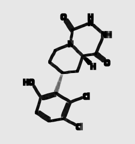 O=C1NNC(=O)N2CC[C@@H](c3c(O)ccc(Cl)c3Cl)C[C@@H]12